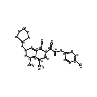 [CH2]c1cc(CN2CCOCC2)cc2c(=O)c(C(=O)NCc3ccc(Cl)cc3)nn(C)c12